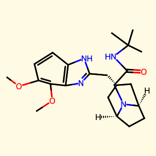 COc1ccc2[nH]c(C[C@@H]3C[C@H]4CC[C@@H](C3)N4CC(=O)NC(C)(C)C)nc2c1OC